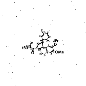 COc1cc2c(cc1OC(C)C)-c1c(c(C(=O)N(C)C(C)(C)C)nn1-c1cccc(F)c1)CC2